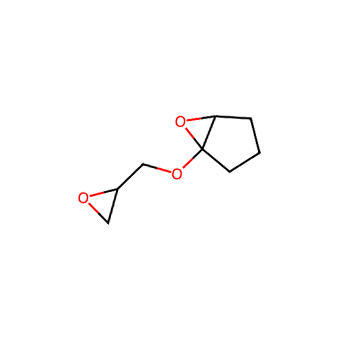 C1CC2OC2(OCC2CO2)C1